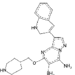 Bc1c(OCC2CCNCC2)nc2c(C3=Cc4ccccc4NC3)cnn2c1N